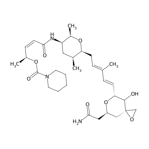 CC(/C=C/[C@H]1O[C@H](CC(N)=O)C[C@@]2(CO2)C1O)=C\C[C@@H]1O[C@H](C)[C@H](NC(=O)/C=C\[C@H](C)OC(=O)N2CCCCC2)C[C@@H]1C